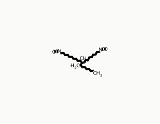 [CH2]C(CCCCCCC)C(CCCCCCCCCN=C=O)C(C)CCCCCCCCCN=C=O